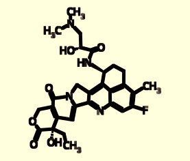 CC[C@@]1(O)C(=O)OCc2c1cc1n(c2=O)Cc2c-1nc1cc(F)c(C)c3c1c2[C@@H](NC(=O)[C@H](O)CN(C)C)CC3